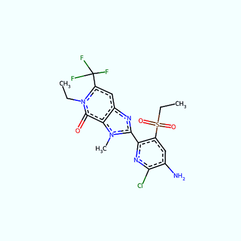 CCn1c(C(F)(F)F)cc2nc(-c3nc(Cl)c(N)cc3S(=O)(=O)CC)n(C)c2c1=O